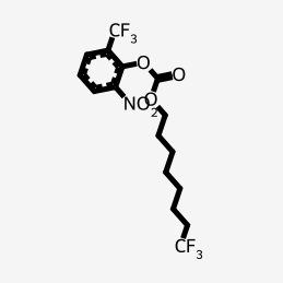 O=C(OCCCCCCCC(F)(F)F)Oc1c([N+](=O)[O-])cccc1C(F)(F)F